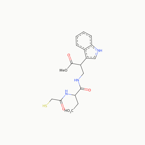 COC(=O)C(CNC(=O)C(CC(=O)O)NC(=O)CS)c1c[nH]c2ccccc12